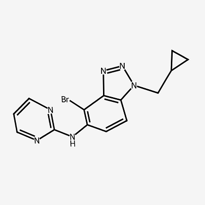 Brc1c(Nc2ncccn2)ccc2c1nnn2CC1CC1